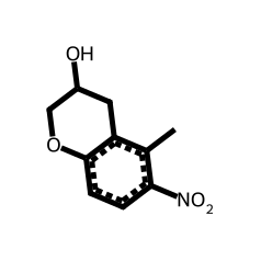 Cc1c([N+](=O)[O-])ccc2c1CC(O)CO2